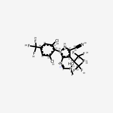 CN(C)/C=N\c1c(C(O)(C(F)(F)F)C(F)(F)F)c(C#N)nn1-c1c(Cl)cc(C(F)(F)F)cc1Cl